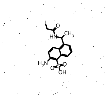 CC(NC(=O)CI)c1cccc2c(S(=O)(=O)O)c(N)ccc12